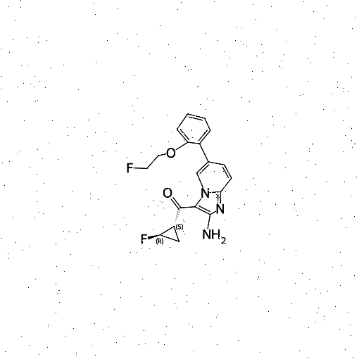 Nc1nc2ccc(-c3ccccc3OCCF)cn2c1C(=O)[C@@H]1C[C@H]1F